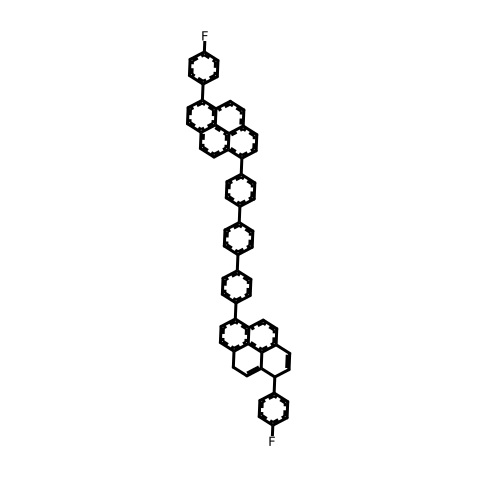 Fc1ccc(-c2ccc3ccc4c(-c5ccc(-c6ccc(-c7ccc(-c8ccc9c%10c%11c(ccc8%10)C=CC(c8ccc(F)cc8)C%11=CC9)cc7)cc6)cc5)ccc5ccc2c3c54)cc1